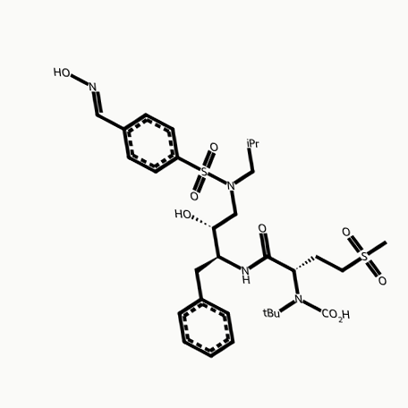 CC(C)CN(C[C@@H](O)[C@H](Cc1ccccc1)NC(=O)[C@H](CCS(C)(=O)=O)N(C(=O)O)C(C)(C)C)S(=O)(=O)c1ccc(/C=N/O)cc1